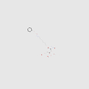 CC(=O)N[C@H]1C(OC(C)=O)[C@@H](OC(C)=O)C(COC(C)=O)O[C@H]1OCCCCCCNC(=O)OCc1ccccc1